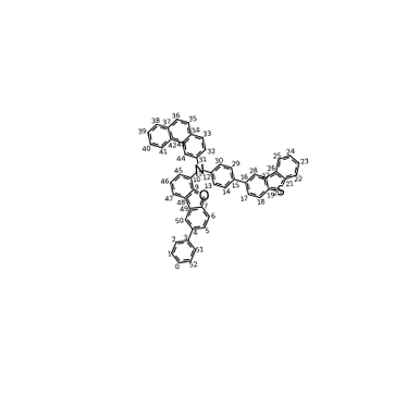 c1ccc(-c2ccc3oc4c(N(c5ccc(-c6ccc7sc8ccccc8c7c6)cc5)c5ccc6ccc7ccccc7c6c5)cccc4c3c2)cc1